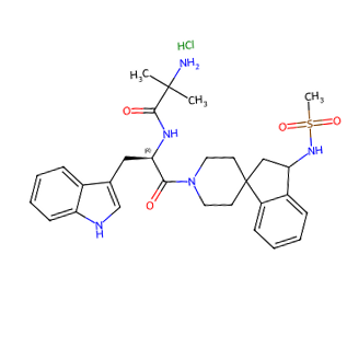 CC(C)(N)C(=O)N[C@H](Cc1c[nH]c2ccccc12)C(=O)N1CCC2(CC1)CC(NS(C)(=O)=O)c1ccccc12.Cl